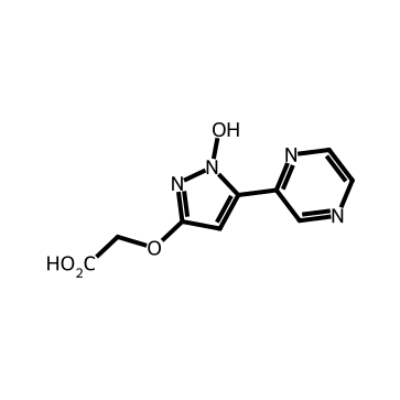 O=C(O)COc1cc(-c2cnccn2)n(O)n1